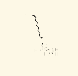 CCCCCCCC/C=C\CCCCCCCC(=O)OCC[N+](C)(C)CC[N+](C)(C)C